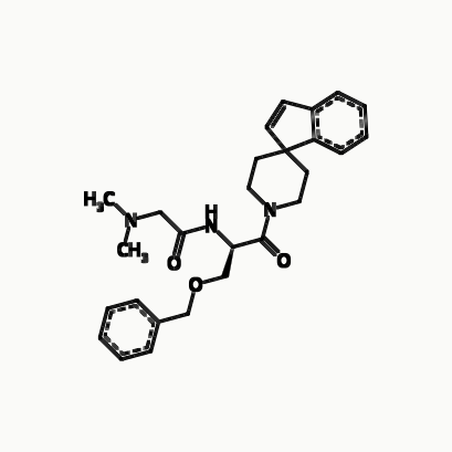 CN(C)CC(=O)N[C@H](COCc1ccccc1)C(=O)N1CCC2(C=Cc3ccccc32)CC1